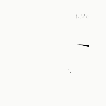 CN[C@@H](c1cccc2ccccc12)[C@@H](C)CN1CCCC1